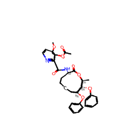 COc1ccnc(C(=O)N[C@H]2CCCC[C@H](Oc3ccccc3)[C@@H](Oc3ccccc3)[C@H](C)OC2=O)c1OC(C)=O